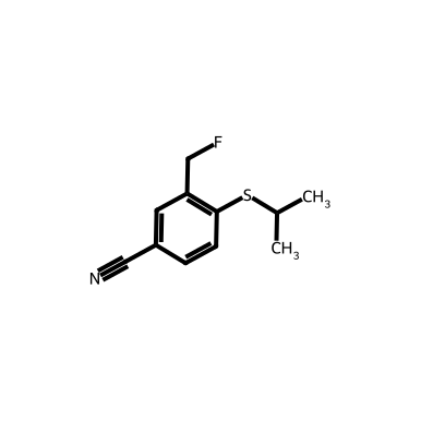 CC(C)Sc1ccc(C#N)cc1CF